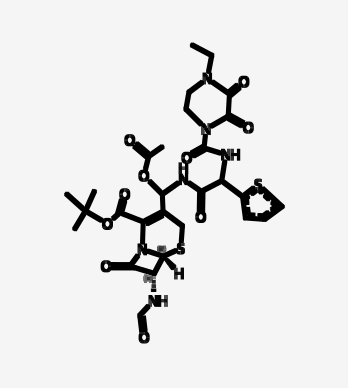 CCN1CCN(C(=O)NC(C(=O)NC(OC(C)=O)C2=C(C(=O)OC(C)(C)C)N3C(=O)[C@@H](NC=O)[C@H]3SC2)c2cccs2)C(=O)C1=O